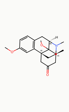 COc1ccc2c(c1)[C@]13CCN(C)[C@H](C2)C1(OC)[C@@H](C)CC(=O)C3